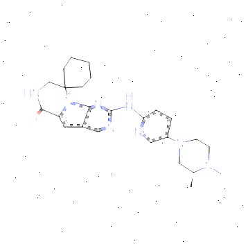 C[C@H]1CN(c2ccc(Nc3ncc4cc5n(c4n3)C3(CCCCC3)CNC5=O)nc2)CCN1C